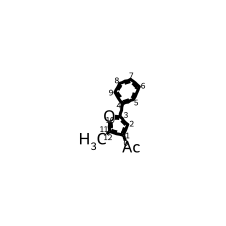 CC(=O)c1cc(-c2ccccc2)oc1C